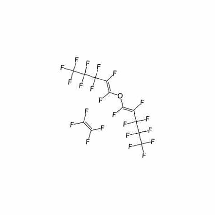 FC(F)=C(F)F.FC(OC(F)=C(F)C(F)(F)C(F)(F)C(F)(F)F)=C(F)C(F)(F)C(F)(F)C(F)(F)F